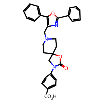 O=C(O)c1ccc(N2CC3(CCN(Cc4nc(-c5ccccc5)oc4-c4ccccc4)CC3)OC2=O)cc1